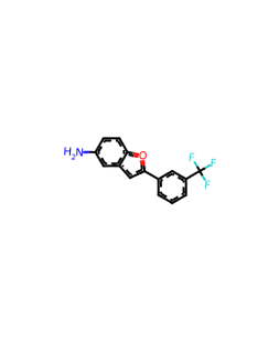 Nc1ccc2oc(-c3cccc(C(F)(F)F)c3)cc2c1